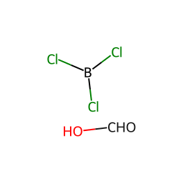 ClB(Cl)Cl.O=CO